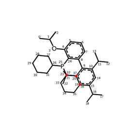 CC(C)Oc1cccc(-c2c(C(C)C)cc(C(C)C)cc2C(C)C)c1P(C1CCCCC1)C1CCCCC1